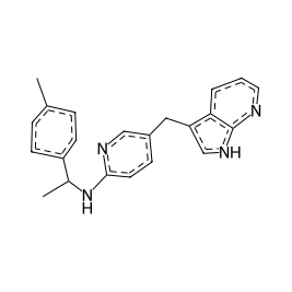 Cc1ccc(C(C)Nc2ccc(Cc3c[nH]c4ncccc34)cn2)cc1